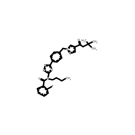 CCCCN(C(=O)c1ccccc1F)c1nnc(-c2ccc(Cn3cc(C(=O)CC(C)(C)C)cn3)cc2)s1